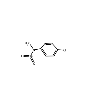 CN(c1ccc(Cl)cc1)[SH](=O)=O